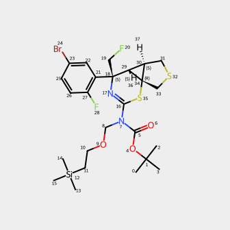 CC(C)(C)OC(=O)N(COCC[Si](C)(C)C)C1=N[C@](CF)(c2cc(Br)ccc2F)[C@@H]2[C@H]3CSC[C@]32S1